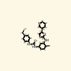 Cc1ccc(NC(=O)Nc2ccc(CI)cc2)cc1Nc1ncc(-c2cccnc2)o1